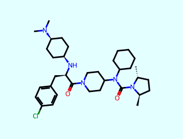 C[C@@H]1CC[C@@H](C)N1C(=O)N(C1CCCCC1)C1CCN(C(=O)[C@@H](Cc2ccc(Cl)cc2)N[C@H]2CC[C@@H](N(C)C)CC2)CC1